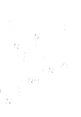 Cc1ccc(Nc2cc3nc4c(n(-c5ccccc5)c-3c/c2=N\C(C)C)=CCCC=4)cn1